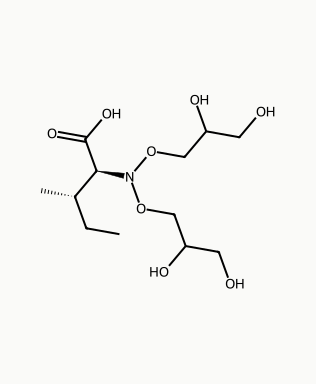 CC[C@H](C)[C@@H](C(=O)O)N(OCC(O)CO)OCC(O)CO